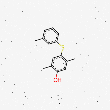 Cc1cccc(Sc2cc(C)c(O)cc2C)c1